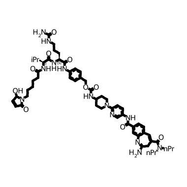 CCCN(CCC)C(=O)C1=Cc2ccc(C(=O)Nc3ccc(N4CCC(NC(=O)OCc5ccc(NC(=O)[C@H](CCCNC(N)=O)NC(=O)[C@@H](NC(=O)CCCCCN6C(=O)C=CC6O)C(C)C)cc5)CC4)nc3)cc2N=C(N)C1